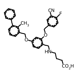 Cc1c(COc2ccc(CNCCCC(=O)O)c(OCc3ccc(F)c(C#N)c3)c2)cccc1-c1ccccc1